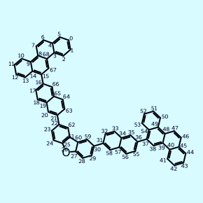 c1ccc2c(c1)ccc1c3ccccc3c(-c3ccc4cc(-c5ccc6oc7ccc(-c8ccc9cc(-c%10cc%11c%12ccccc%12ccc%11c%11ccccc%10%11)ccc9c8)cc7c6c5)ccc4c3)cc21